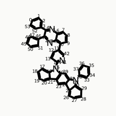 c1ccc(-c2nc3cccc(-c4ccc(-n5c6ccccc6c6cc7c8ccccc8n(-c8ccccc8)c7cc65)nc4)c3nc2-c2ccccc2)cc1